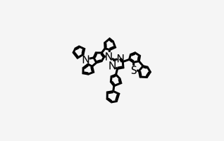 c1ccc(-c2ccc(-c3cc(-c4cccc5c4sc4ccccc45)nc(-n4c5ccccc5c5cc6c(cc54)c4ccccc4n6-c4ccccc4)n3)cc2)cc1